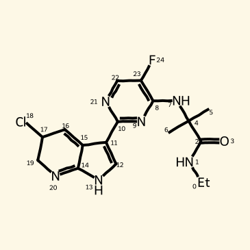 CCNC(=O)C(C)(C)Nc1nc(-c2c[nH]c3c2=CC(Cl)CN=3)ncc1F